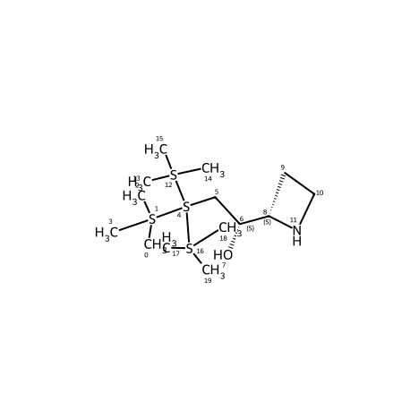 CS(C)(C)S(C[C@@H](O)[C@@H]1CCN1)(S(C)(C)C)S(C)(C)C